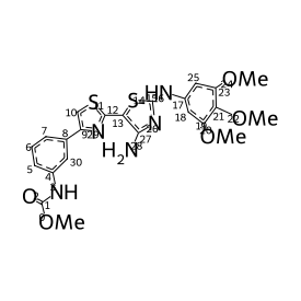 COC(=O)Nc1cccc(-c2csc(-c3sc(Nc4cc(OC)c(OC)c(OC)c4)nc3N)n2)c1